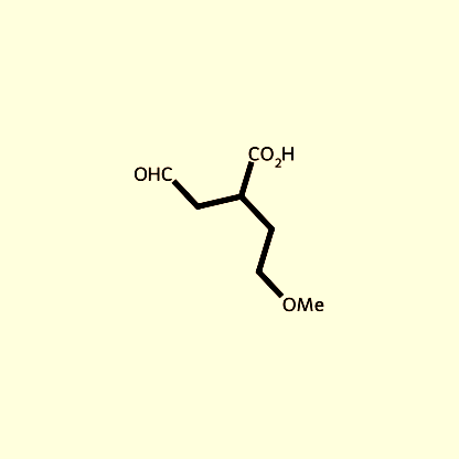 COCCC(CC=O)C(=O)O